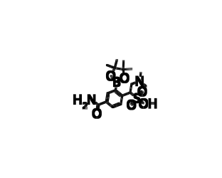 CN(C)CC(c1ccc(C(N)=O)cc1B1OC(C)(C)C(C)(C)O1)S(=O)(=O)O